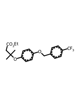 CCOC(=O)CC(C)(C)Oc1ccc(OCc2ccc(C(F)(F)F)cc2)cc1